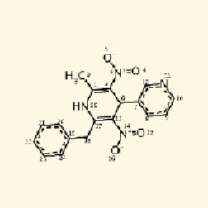 CC1=C([N+](=O)[O-])C(c2cccnc2)C([N+](=O)[O-])=C(Cc2ccccc2)N1